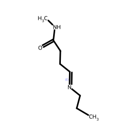 CCC/N=C/CCC(=O)NC